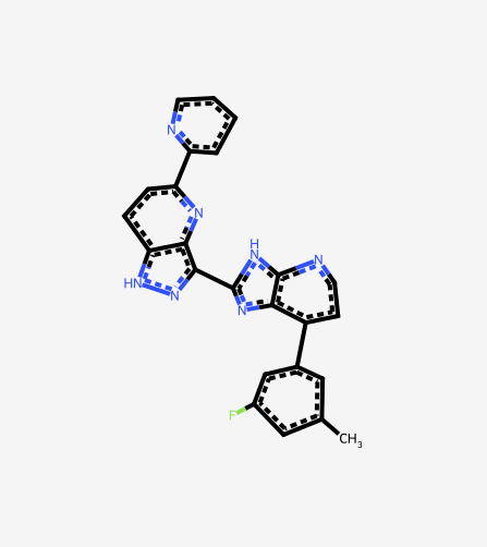 Cc1cc(F)cc(-c2ccnc3[nH]c(-c4n[nH]c5ccc(-c6ccccn6)nc45)nc23)c1